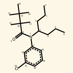 CCCC(CCC)N(C(=O)C(C)(C)C(C)(C)C)c1cccc(Cl)c1